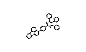 C1=CC(c2c(-c3ccccc3)nc(C3C=CC(c4ccc5c6c(cccc46)-c4ccccc4-5)=CC3)nc2-c2ccccc2)=CCC1